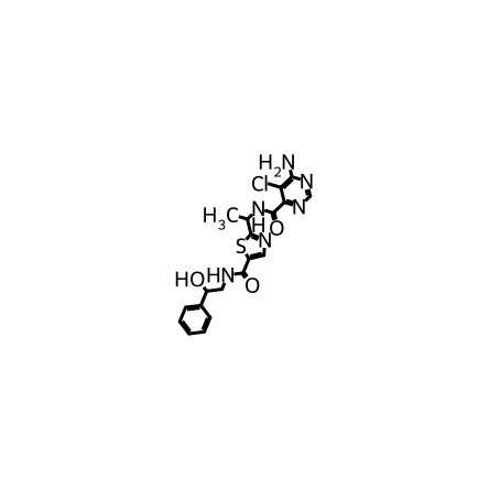 CC(NC(=O)c1ncnc(N)c1Cl)c1ncc(C(=O)NCC(O)c2ccccc2)s1